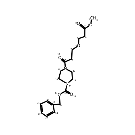 COC(=O)CCOCCC(=O)N1CCN(C(=O)OCc2ccccc2)CC1